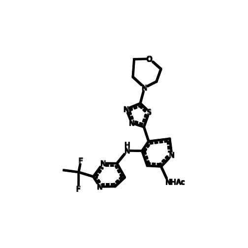 CC(=O)Nc1cc(Nc2ccnc(C(C)(F)F)n2)c(-c2nnc(N3CCOCC3)s2)cn1